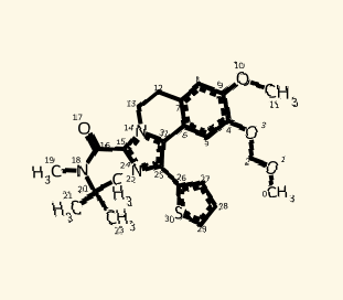 COCOc1cc2c(cc1OC)CCn1c(C(=O)N(C)C(C)(C)C)nc(-c3cccs3)c1-2